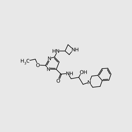 CCOc1nc(NC2CNC2)cc(C(=O)NCC(O)CN2CCc3ccccc3C2)n1